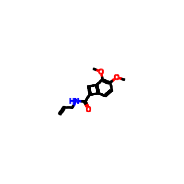 C=CCNC(=O)C1=Cc2c1ccc(OC)c2OC